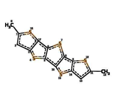 Cc1cc2sc3c(sc4c5sc(C)cc5sc43)c2s1